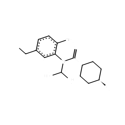 C[CH]c1ccc(N)c(N(C(=O)[C@H]2CC[C@H](C)CC2)C(C)C)c1